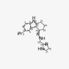 CC(C)c1ccc2[nH]c3c(c2c1)C(=NNCC1=NCCN1)CCC3